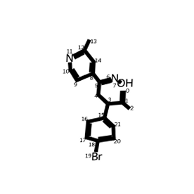 C=C(C)C(C/C(=N\O)c1ccnc(C)c1)c1ccc(Br)cc1